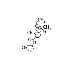 CS(=O)(=O)c1ccc(C(=O)OC2=CC(=O)CCC2)c(Cl)c1COCC(F)(F)F